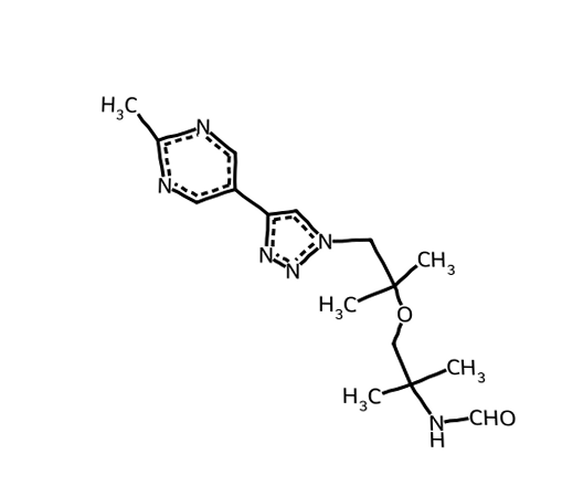 Cc1ncc(-c2cn(CC(C)(C)OCC(C)(C)NC=O)nn2)cn1